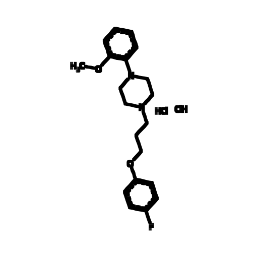 COc1ccccc1N1CCN(CCCOc2ccc(F)cc2)CC1.Cl.Cl